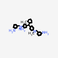 CC1CC=CC=C1C(c1ccc(N(C)Cc2cccc(N)c2)cc1)c1ccc(N(N)Cc2cccc(N)c2)cc1